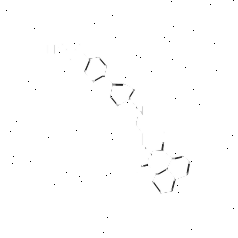 O=C(O)c1ccc(-c2ccc(NCCCN3C(=O)c4cccc5cccc(c45)C3=O)cc2)cc1